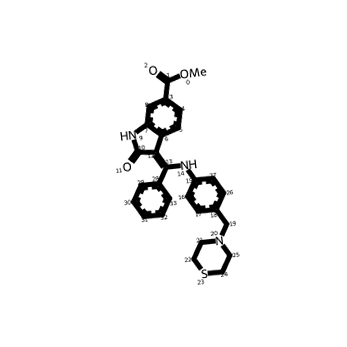 COC(=O)c1ccc2c(c1)NC(=O)C2=C(Nc1ccc(CN2CCSCC2)cc1)c1ccccc1